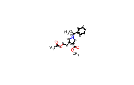 COC(=O)[C@@H]1CN([C@@H](C)c2ccccc2)C[C@@H]1CCOC(C)=O